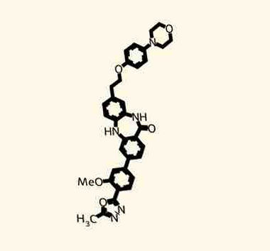 COc1cc(-c2ccc3c(c2)Nc2ccc(CCOc4ccc(N5CCOCC5)cc4)cc2NC3=O)ccc1-c1nnc(C)o1